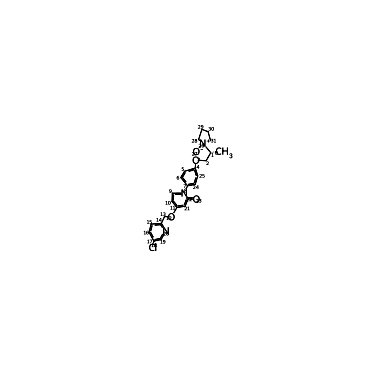 C[C@H](COc1ccc(-n2ccc(OCc3ccc(Cl)cn3)cc2=O)cc1)[N+]1([O-])CCCC1